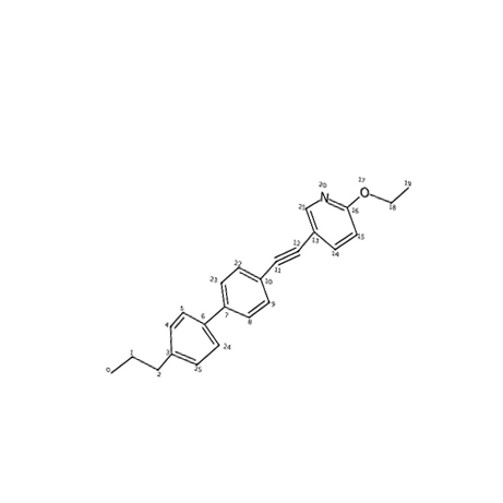 CCCc1ccc(-c2ccc(C#Cc3ccc(OCC)nc3)cc2)cc1